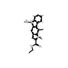 CCOC(=O)c1cc2cc3c(c(C)c2n1C)c1ccccc1n3O